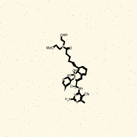 CC[C@H](Nc1nc(N)nc(C)c1C#N)C1=Cc2cccc(C#CCCCC(=O)N(CCOC)CCOC)c2S(O)(O)N1c1cncc(F)c1